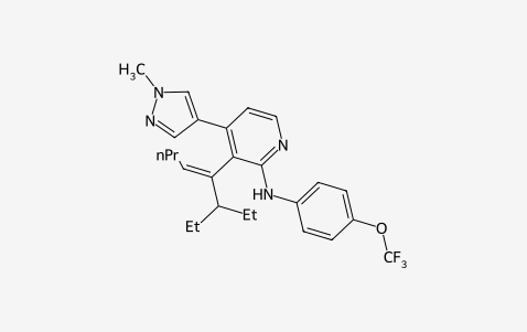 CCC/C=C(\c1c(-c2cnn(C)c2)ccnc1Nc1ccc(OC(F)(F)F)cc1)C(CC)CC